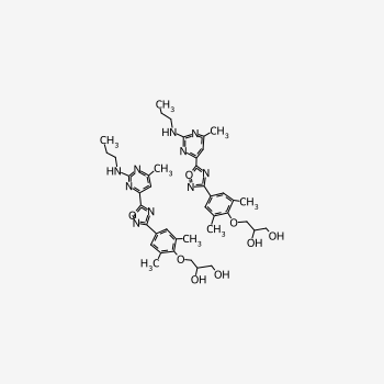 CCCNc1nc(C)cc(-c2nc(-c3cc(C)c(OCC(O)CO)c(C)c3)no2)n1.CCCNc1nc(C)cc(-c2nc(-c3cc(C)c(OCC(O)CO)c(C)c3)no2)n1